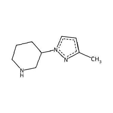 Cc1ccn(C2CCCNC2)n1